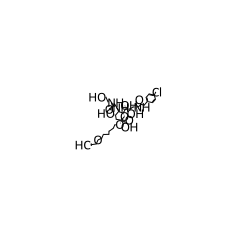 C#CCOCCCCCCO[C@]1(C(=O)O)C[C@H](O)[C@@H](NC(=O)NCCO)[C@H]([C@H](O)[C@H](O)CNC(=O)Cc2ccc(Cl)cc2)O1